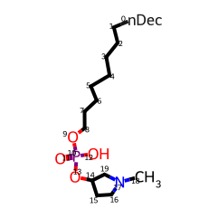 CCCCCCCCCCCCCCCCCCOP(=O)(O)OC1CCN(C)C1